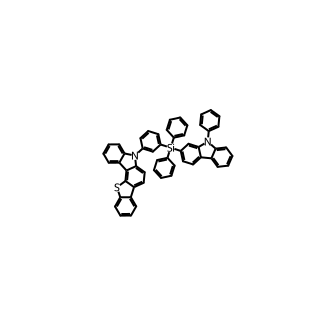 c1ccc(-n2c3ccccc3c3ccc([Si](c4ccccc4)(c4ccccc4)c4cccc(-n5c6ccccc6c6c7sc8ccccc8c7ccc65)c4)cc32)cc1